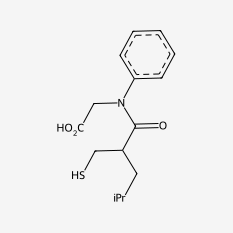 CC(C)CC(CS)C(=O)N(CC(=O)O)c1ccccc1